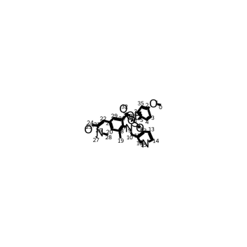 COc1ccc(S(=O)(=O)N(Cc2cccnc2)c2c(C)cc(C=C(C=O)N(C)C)cc2C(=O)O)cc1